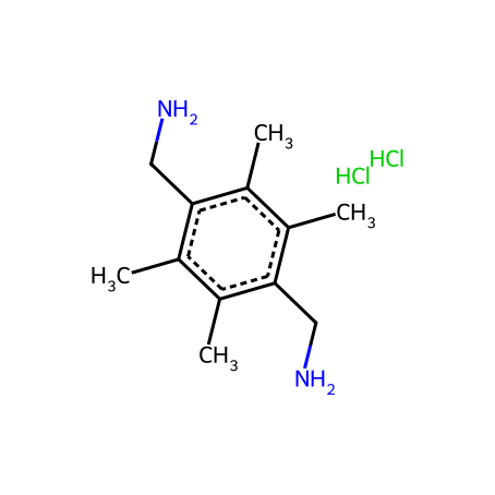 Cc1c(C)c(CN)c(C)c(C)c1CN.Cl.Cl